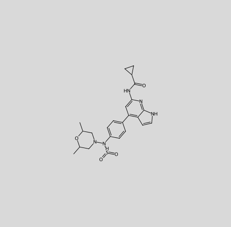 CC1CN(N(c2ccc(-c3cc(NC(=O)C4CC4)nc4[nH]ccc34)cc2)[SH](=O)=O)CC(C)O1